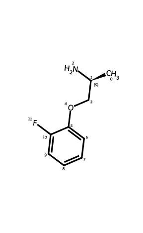 C[C@H](N)COc1ccccc1F